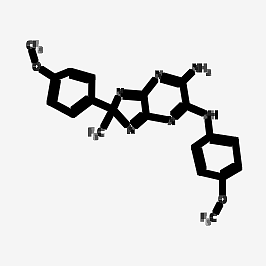 Nc1nc2c(nc1Nc1ccc(OC(F)(F)F)cc1)=NC(c1ccc(OC(F)(F)F)cc1)(C(F)(F)F)N=2